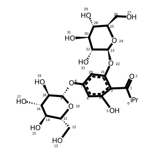 CC(C)C(=O)c1c(O)cc(O[C@@H]2O[C@H](CO)[C@@H](O)[C@H](O)[C@H]2O)cc1O[C@@H]1O[C@H](CO)[C@@H](O)[C@H](O)[C@H]1O